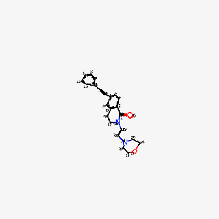 O=C1c2ccc(C#Cc3ccccc3)cc2CCN1CCN1CCOCC1